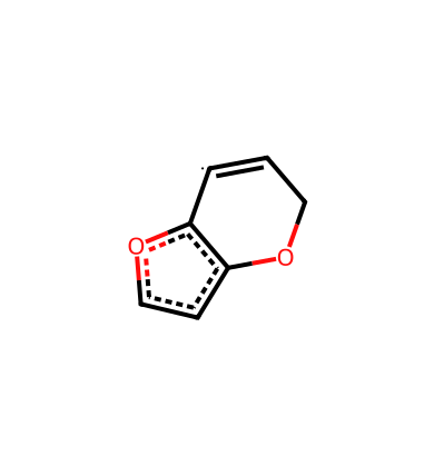 [C]1=CCOc2ccoc21